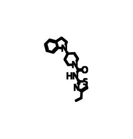 CCc1csc(NC(=O)N2CCC(N3CCc4ccccc43)CC2)n1